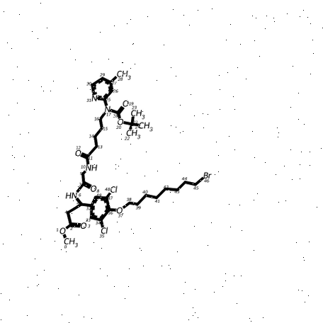 COC(=O)CC(NC(=O)CNC(=O)CCCCN(C(=O)OC(C)(C)C)c1cc(C)ccn1)c1cc(Cl)c(OCCCCCCCCBr)c(Cl)c1